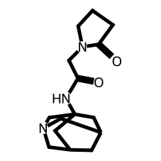 O=C(CN1CCCC1=O)NC12CC3CC(CN(C3)C1)C2